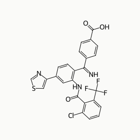 N=C(c1ccc(C(=O)O)cc1)c1ccc(-c2cscn2)cc1NC(=O)c1c(Cl)cccc1C(F)(F)F